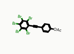 CC(=O)Oc1ccc(C#Cc2c(Br)c(Br)c(Br)c(Br)c2Br)cc1